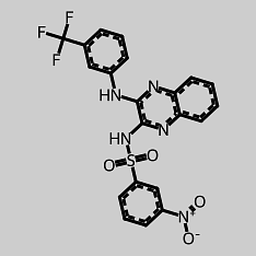 O=[N+]([O-])c1cccc(S(=O)(=O)Nc2nc3ccccc3nc2Nc2cccc(C(F)(F)F)c2)c1